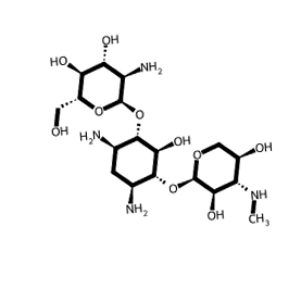 CN[C@@H]1[C@@H](O)[C@@H](O[C@H]2[C@H](O)[C@@H](O[C@H]3O[C@H](CO)[C@@H](O)[C@H](O)[C@H]3N)[C@H](N)C[C@@H]2N)OC[C@H]1O